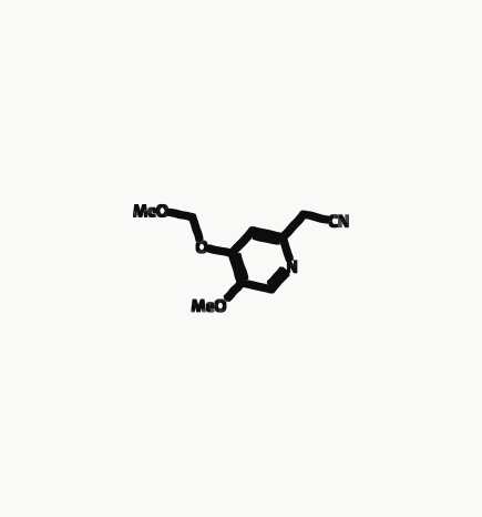 COCOc1cc(CC#N)ncc1OC